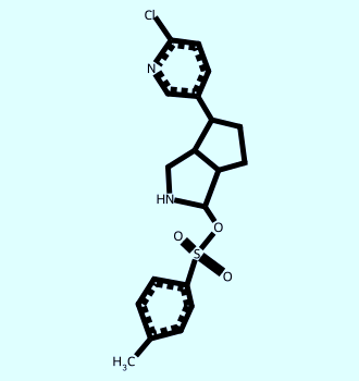 Cc1ccc(S(=O)(=O)OC2NCC3C(c4ccc(Cl)nc4)CCC23)cc1